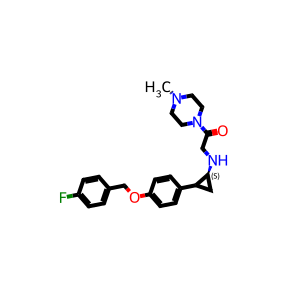 CN1CCN(C(=O)CN[C@H]2CC2c2ccc(OCc3ccc(F)cc3)cc2)CC1